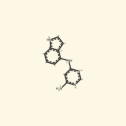 Nc1cc(Nc2cccc3[nH]ccc23)ncn1